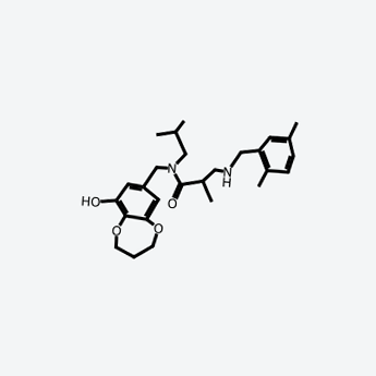 Cc1ccc(C)c(CNCC(C)C(=O)N(Cc2cc(O)c3c(c2)OCCCO3)CC(C)C)c1